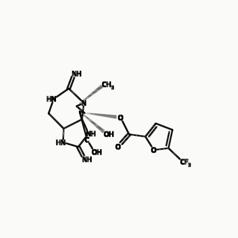 C[C@H]1[C@H](OC(=O)c2ccc(C(F)(F)F)o2)[C@](O)(CO)C23NC(=N)NC2CNC(=N)N13